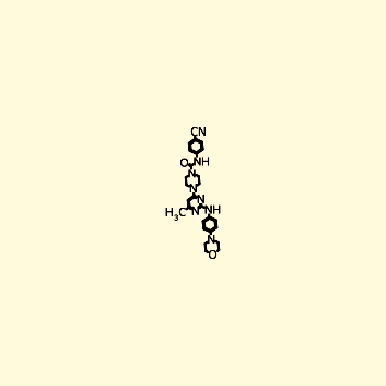 Cc1cc(N2CCN(C(=O)Nc3ccc(C#N)cc3)CC2)nc(Nc2ccc(N3CCOCC3)cc2)n1